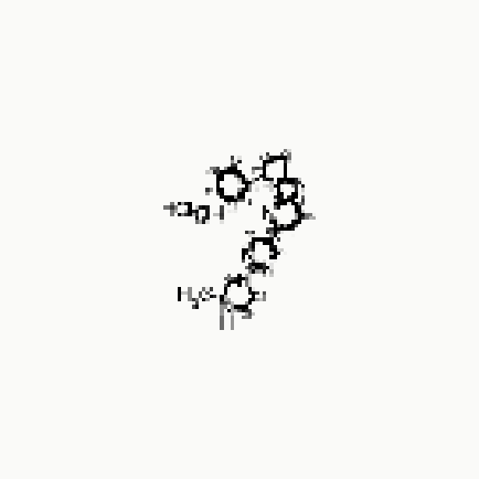 C[C@@H]1CN(c2ncc(-c3ccc4nc5n(c4n3)[C@@H](c3ccccc3)CC5)cn2)CCN1.Cl.Cl